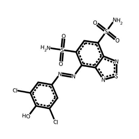 NS(=O)(=O)c1cc(S(N)(=O)=O)c2nsnc2c1/N=N/c1cc(Cl)c(O)c(Cl)c1